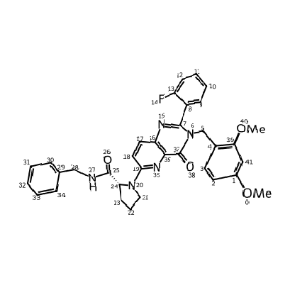 COc1ccc(Cn2c(-c3ccccc3F)nc3ccc(N4CCC[C@@H]4C(=O)NCc4ccccc4)nc3c2=O)c(OC)c1